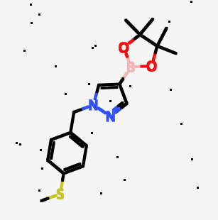 CSc1ccc(Cn2cc(B3OC(C)(C)C(C)(C)O3)cn2)cc1